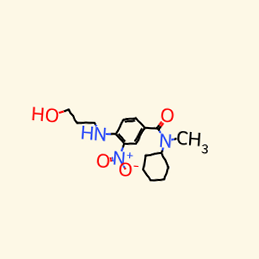 CN(C(=O)c1ccc(NCCCO)c([N+](=O)[O-])c1)C1CCCCC1